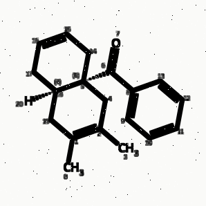 CC1=C(C)C[C@]2(C(=O)c3ccccc3)CC=CC[C@@H]2C1